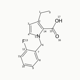 CCc1ccn(Cc2ccccc2F)c1C(=O)O